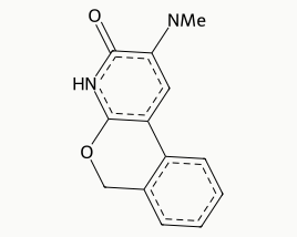 CNc1cc2c([nH]c1=O)OCc1ccccc1-2